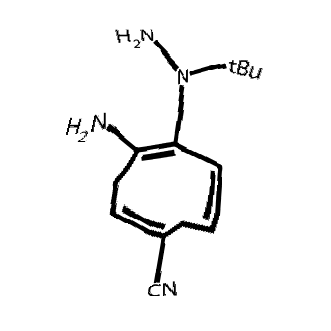 CC(C)(C)N(N)c1ccc(C#N)cc1N